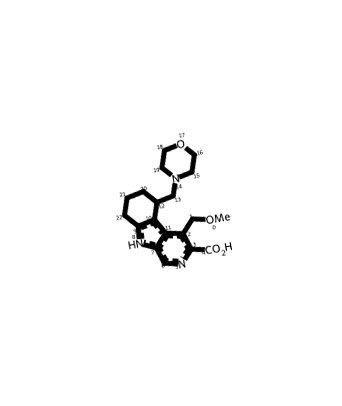 COCc1c(C(=O)O)ncc2[nH]c3c(c12)C(CN1CCOCC1)CCC3